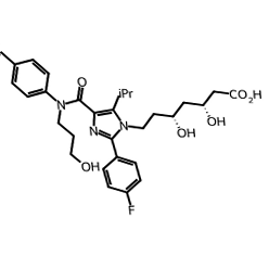 CC(C)c1c(C(=O)N(CCCO)c2ccc(Cl)cc2)nc(-c2ccc(F)cc2)n1CC[C@@H](O)C[C@@H](O)CC(=O)O